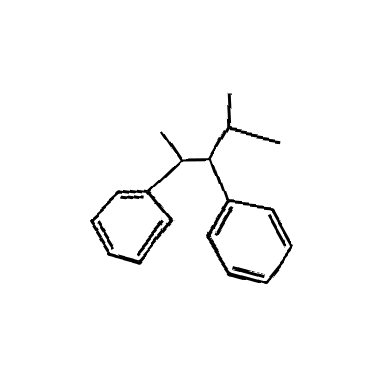 CC(C)C(c1ccccc1)C(C)c1ccccc1